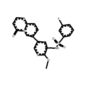 COc1ncc(-c2ccc3nccc(=O)n3c2)cc1NS(=O)(=O)c1cccc(F)c1